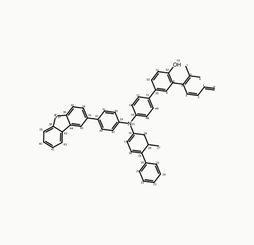 C=C/C=C\C(=C(C)C)c1cc(-c2ccc(N(C3=CC=C(c4ccccc4)C(C)C3)c3ccc(-c4ccc5sc6ccccc6c5c4)cc3)cc2)ccc1O